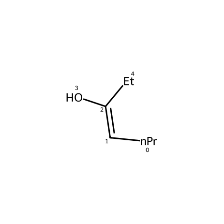 CCC/C=C(/O)CC